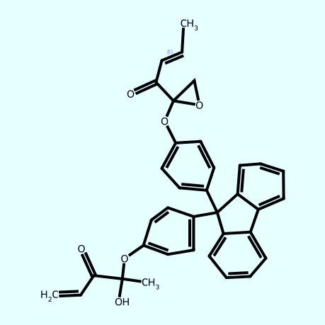 C=CC(=O)C(C)(O)Oc1ccc(C2(c3ccc(OC4(C(=O)/C=C/C)CO4)cc3)c3ccccc3-c3ccccc32)cc1